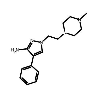 CN1CCN(CCn2cc(-c3ccccc3)c(N)n2)CC1